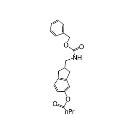 CCCC(=O)Oc1ccc2c(c1)CC(CNC(=O)OCc1ccccc1)C2